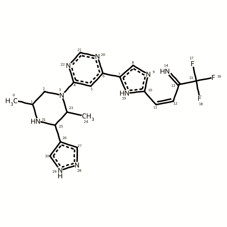 CC1CN(c2cc(-c3cnc(/C=C\C(=N)C(F)(F)F)[nH]3)ncn2)C(C)C(c2cn[nH]c2)N1